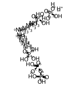 N.N.N.N.N.N.N.N.N.N.O=P(O)(O)O.O=P(O)(O)O.O=P(O)(O)O.O=P([O-])(O)OP(=O)(O)O.[H+]